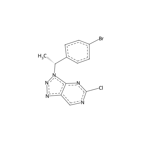 C[C@H](c1ccc(Br)cc1)n1nnc2cnc(Cl)nc21